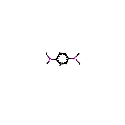 CP(C)c1[c]cc(P(C)C)cc1